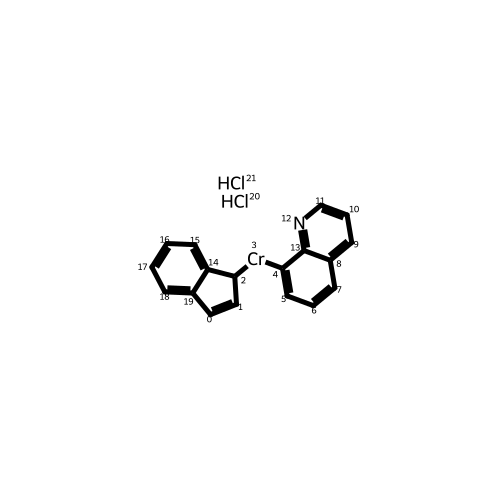 C1=C[CH]([Cr][c]2cccc3cccnc23)c2ccccc21.Cl.Cl